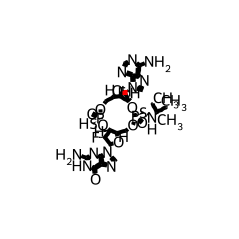 CCC(C)(CC)NS[P@@]1(=O)OC[C@H]2O[C@@H](n3cnc4c(=O)[nH]c(N)nc43)[C@H](F)[C@@H]2O[P@](=O)(S)OC[C@H]2O[C@@H](n3cnc4c(N)ncnc43)[C@H](O1)[C@@H]2F